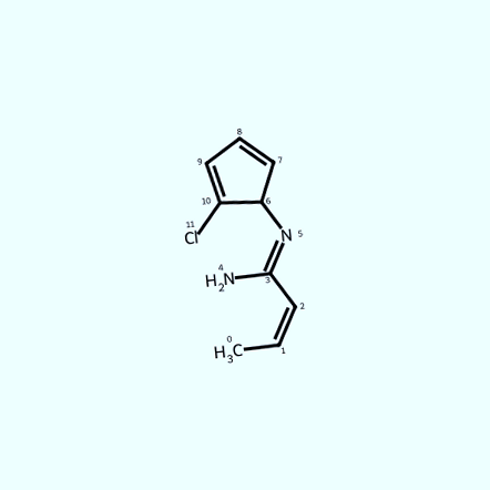 C/C=C\C(N)=NC1C=CC=C1Cl